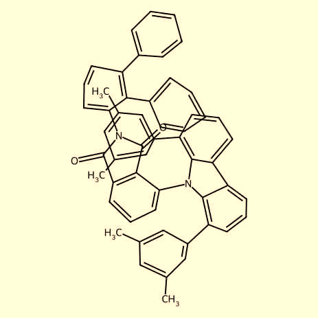 Cc1cc(C)cc(-c2cccc3c4cccc(-c5cc(C)cc(C)c5)c4n(-c4cccc5c4C(=O)N(c4cccc(-c6ccccc6)c4-c4ccccc4)C5=O)c23)c1